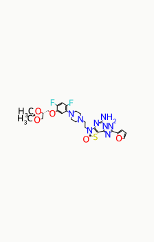 CC1(C)OC[C@@H](COc2cc(N3CCN(CCn4c(=O)sc5c4nc(N)n4nc(-c6ccco6)nc54)CC3)c(F)cc2F)O1